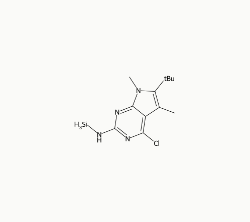 Cc1c(C(C)(C)C)n(C)c2nc(N[SiH3])nc(Cl)c12